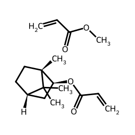 C=CC(=O)OC.C=CC(=O)O[C@H]1C[C@@H]2CC[C@@]1(C)C2(C)C